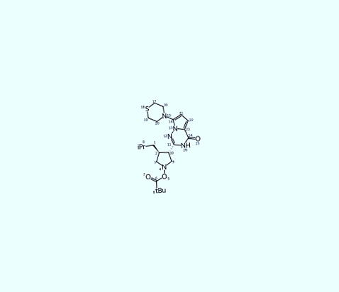 CC(C)C[C@@H]1CN(OC(=O)C(C)(C)C)C[C@H]1c1nn2c(N3CCSCC3)ccc2c(=O)[nH]1